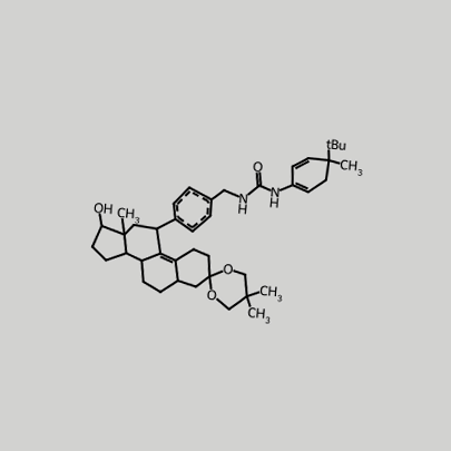 CC1(C)COC2(CCC3=C4C(c5ccc(CNC(=O)NC6=CCC(C)(C(C)(C)C)C=C6)cc5)CC5(C)C(O)CCC5C4CCC3C2)OC1